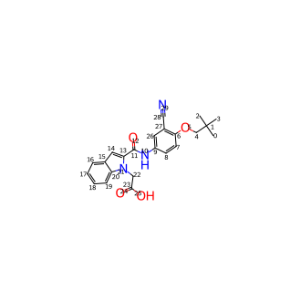 CC(C)(C)COc1ccc(NC(=O)c2cc3ccccc3n2CC(=O)O)cc1C#N